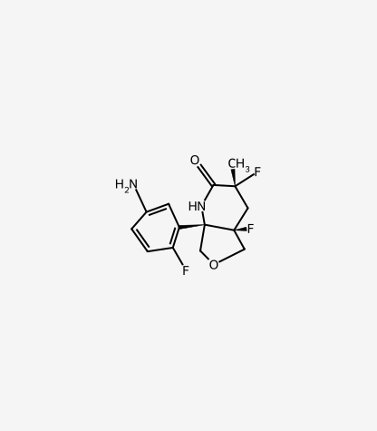 C[C@@]1(F)C[C@]2(F)COC[C@]2(c2cc(N)ccc2F)NC1=O